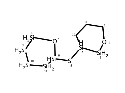 C1CO[SiH2][SiH](S[SiH]2O[SiH2][SiH2][SiH2][SiH2]2)C1